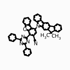 CC1(C)c2ccccc2-c2cc3c4ccccc4n(-c4cc(C#N)c(-c5nc(-c6ccccc6)nc(-c6ccccc6)n5)c5oc6ccccc6c45)c3cc21